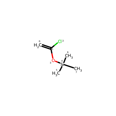 C=C(Cl)O[Si](C)(C)C